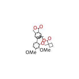 CCCOC(=O)C1(COc2c(-c3ccc4c(c3)COC4=O)ccc(OC)c2OC)CCC1